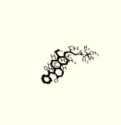 CC(C)C(C)(C)[SiH2]OC[C@H](C)[C@H]1CC[C@H]2[C@@H]3CC[C@H]4C(C(=O)c5ccccc5)C(=O)CC[C@]4(C)[C@H]3CC[C@]12C